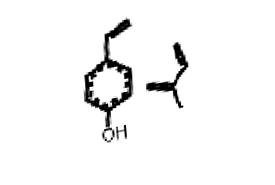 C=CC(=C)C.C=Cc1ccc(O)cc1